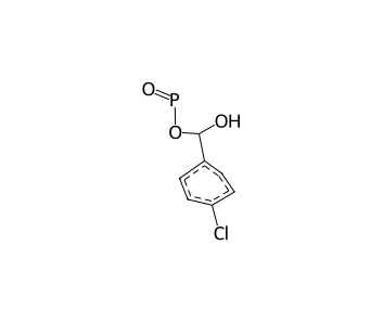 O=POC(O)c1ccc(Cl)cc1